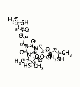 COOCC(C)(S)C(C)n1c(=O)n(CCOC(=O)CC(C)S)c(=O)n(CCOC(=O)CC(C)S)c1=O